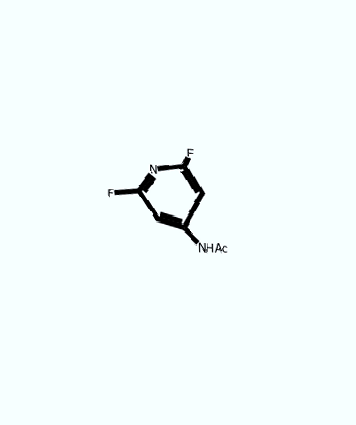 CC(=O)Nc1cc(F)nc(F)c1